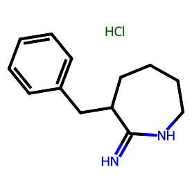 Cl.N=C1NCCCCC1Cc1ccccc1